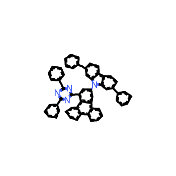 c1ccc(-c2ccc3c4ccc(-c5ccccc5)cc4n(-c4cc(-c5nc(-c6ccccc6)nc(-c6ccccc6)n5)c5c6ccccc6c6ccccc6c5c4)c3c2)cc1